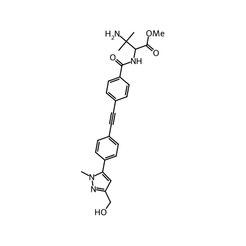 COC(=O)C(NC(=O)c1ccc(C#Cc2ccc(-c3cc(CO)nn3C)cc2)cc1)C(C)(C)N